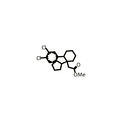 COC(=O)CC1(C2CCCC2)CCCCC1c1ccc(Cl)c(Cl)c1